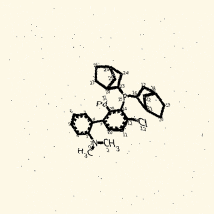 CN(C)c1ccccc1-c1ccc(Cl)c(P(C2CC3CCC2C3)C2CC3CCC2C3)[c]1[Pd]